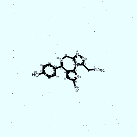 CCCCCCCCCCCc1nnc2n1-c1sc(CC)cc1C(c1ccc(O)cc1)=NC2